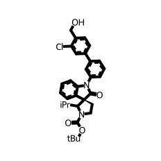 CC(C)C1N(C(=O)OC(C)(C)C)CC[C@@]12C(=O)N(c1cccc(-c3ccc(CO)c(Cl)c3)c1)c1ccccc12